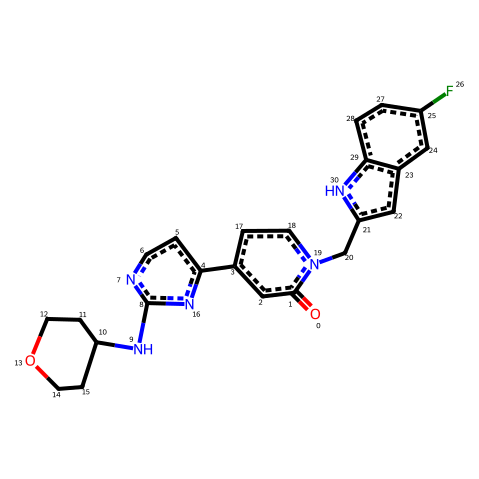 O=c1cc(-c2ccnc(NC3CCOCC3)n2)ccn1Cc1cc2cc(F)ccc2[nH]1